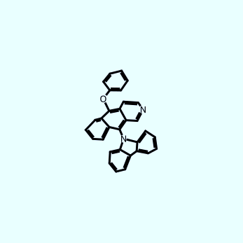 c1ccc(Oc2c3ccccc3c(-n3c4ccccc4c4ccccc43)c3cnccc23)cc1